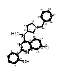 CN(c1nc(-c2ccccc2O)nc2cc(Cl)ccc12)[C@H]1CCN(Cc2ccccc2)C1